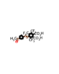 C[S+]([O-])c1ccc(SSc2c(C(F)(F)F)c(C(=O)O)c(C(=O)O)c(C(F)(F)F)c2C(F)(F)F)cc1